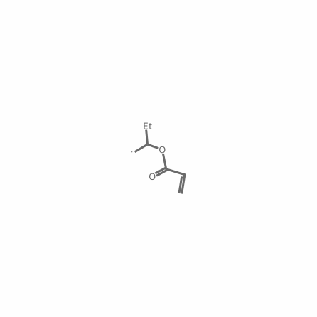 [CH2]CC([CH2])OC(=O)C=C